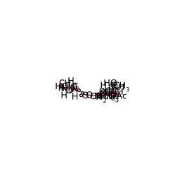 CC(=O)CCCC(=O)NC(CCC(N)=O)(CCC(=O)NC(C)(C)CO)CCC(=O)NC(C)(C)COC(C)(C)Cc1cn(CCOCCOCCOc2ccc(-c3ccc([C@H](CC(=O)O)NC(=O)CNC(=O)CCCNc4cc(C)ccn4)cc3)c3ccccc23)nn1